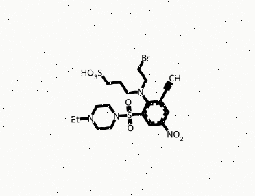 C#Cc1cc([N+](=O)[O-])cc(S(=O)(=O)N2CCN(CC)CC2)c1N(CCBr)CCCS(=O)(=O)O